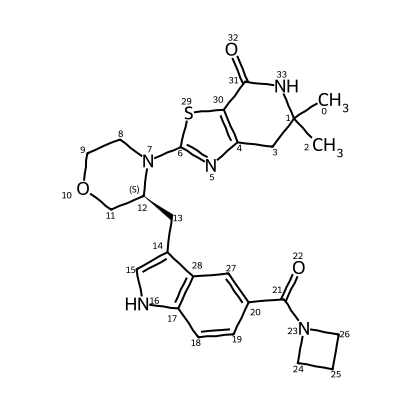 CC1(C)Cc2nc(N3CCOC[C@@H]3Cc3c[nH]c4ccc(C(=O)N5CCC5)cc34)sc2C(=O)N1